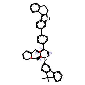 C=C/C=C(\C=C/N(C(/C=C\C1=CC=CCC1)=C/C)c1ccc2c(c1)-c1ccccc1C2(C)C)c1ccc(-c2ccc3c4c(oc3c2)CCc2ccccc2-4)cc1